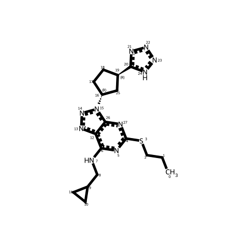 CCCSc1nc(NCC2CC2)c2nnn([C@@H]3CC[C@@H](c4nnn[nH]4)C3)c2n1